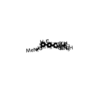 CNCCOc1cccc(-c2ccc(C3CCN(S(=O)(=O)C(C)(C)C(=O)NO)CC3)cc2C)c1